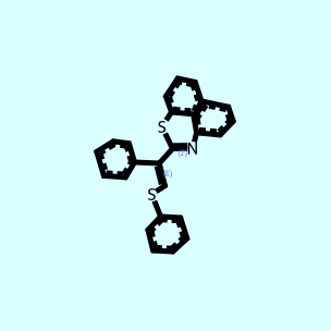 C(/Sc1ccccc1)=C(\C(=N\c1ccccc1)Sc1ccccc1)c1ccccc1